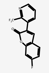 O=c1oc2cc(F)ccc2cc1-c1cccnc1C(F)(F)F